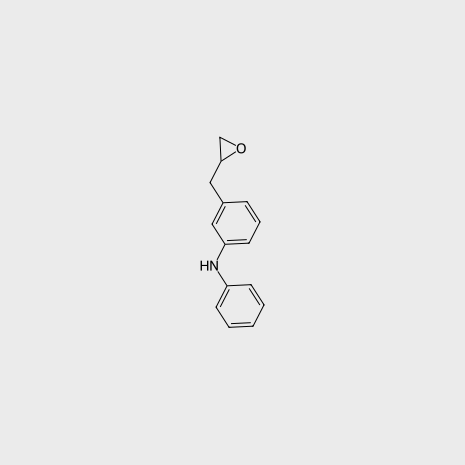 c1ccc(Nc2cccc(CC3CO3)c2)cc1